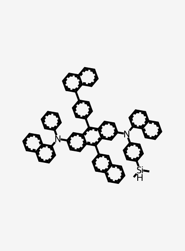 C[SiH](C)c1ccc(N(c2ccc3c(-c4ccc(-c5cccc6ccccc56)cc4)c4cc(N(c5ccccc5)c5cccc6ccccc56)ccc4c(-c4ccc5ccccc5c4)c3c2)c2cccc3ccccc23)cc1